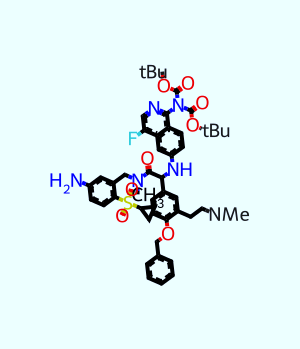 CNCCc1cc(C(Nc2ccc3c(N(C(=O)OC(C)(C)C)C(=O)OC(C)(C)C)ncc(F)c3c2)C(=O)N(C)Cc2cc(N)ccc2S(=O)(=O)C2CC2)ccc1OCc1ccccc1